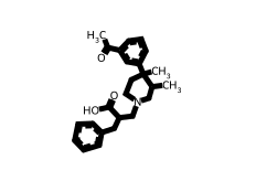 CC(=O)c1cccc(C2(C)CCN(CC(Cc3ccccc3)C(=O)O)CC2C)c1